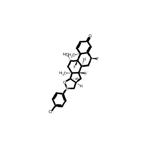 [CH2]C(=O)[C@@]12ON(c3ccc(Cl)cc3)C[C@@H]1C[C@H]1[C@@H]3C[C@H](F)C4=CC(=O)C=C[C@]4(C)[C@@]3(F)[C@@H](O)C[C@@]12C